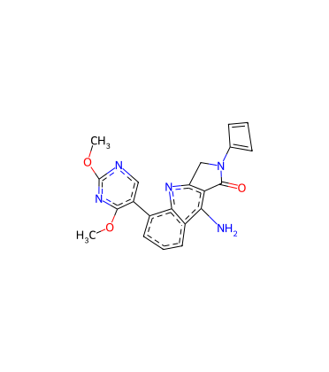 COc1ncc(-c2cccc3c(N)c4c(nc23)CN(C2=CC=C2)C4=O)c(OC)n1